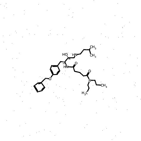 CCCN(CCC)C(=O)CCCC(=O)N[C@@H](Cc1ccc(OCc2ccccc2)cc1)[C@H](O)CNCCC(C)C